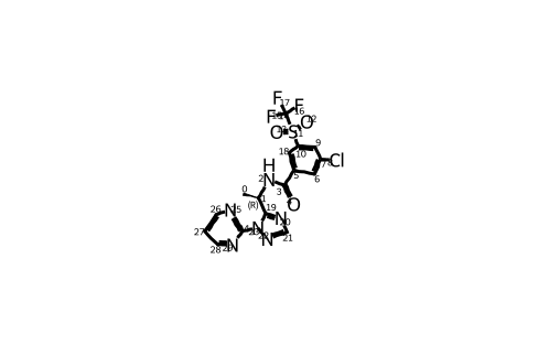 C[C@@H](NC(=O)c1cc(Cl)cc(S(=O)(=O)C(F)(F)F)c1)c1ncnn1-c1ncccn1